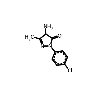 CC1=NN(c2ccc(Cl)cc2)C(=O)C1N